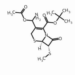 CS[C@H]1C(=O)N2C(C(=O)OC(C)(C)C)=C(C(N)OC(C)=O)CS[C@H]12